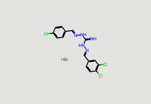 Br.N=C(NN=Cc1ccc(Cl)cc1)NN=Cc1ccc(Cl)c(Cl)c1